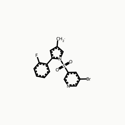 [CH2]c1cc(-c2ccccc2F)n(S(=O)(=O)c2cncc(Br)c2)c1